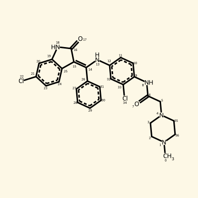 CN1CCN(CC(=O)Nc2ccc(N/C(=C3\C(=O)Nc4cc(Cl)ccc43)c3ccccc3)cc2Cl)CC1